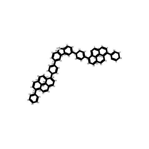 C1=CC(c2ccc3ccc4c(C5=CCC(c6ccc7sc8ccc(C9=CCC(c%10ccc%11ccc%12c(-c%13ccccc%13)ccc%13ccc%10c%11c%13%12)C=C9)cc8c7c6)C=C5)ccc5ccc2c3c54)=CCC1